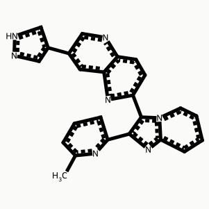 Cc1cccc(-c2nc3ccccn3c2-c2ccc3ncc(-c4cn[nH]c4)cc3n2)n1